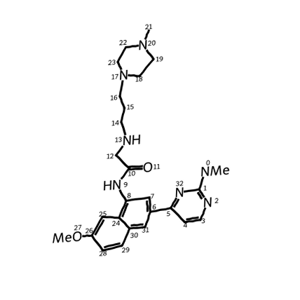 CNc1nccc(-c2cc(NC(=O)CNCCCN3CCN(C)CC3)c3cc(OC)ccc3c2)n1